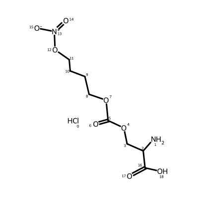 Cl.NC(COC(=O)OCCCCO[N+](=O)[O-])C(=O)O